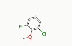 COc1c(F)c[c]cc1Cl